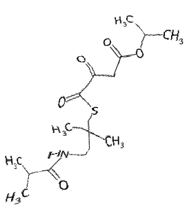 CC(C)OC(=O)CC(=O)C(=O)SC(C)(C)CNC(=O)C(C)C